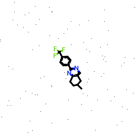 CC1CCc2nc(-c3ccc(C(F)(F)F)cc3)ncc2C1